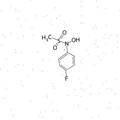 CS(=O)(=O)N(O)c1ccc(F)cc1